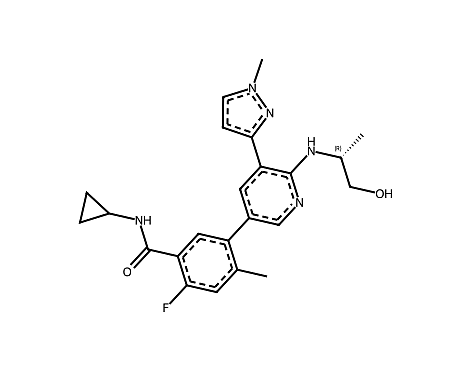 Cc1cc(F)c(C(=O)NC2CC2)cc1-c1cnc(N[C@H](C)CO)c(-c2ccn(C)n2)c1